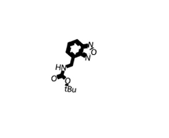 CC(C)(C)OC(=O)NCc1cccc2nonc12